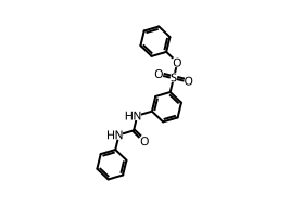 O=C(Nc1ccccc1)Nc1cccc(S(=O)(=O)Oc2ccccc2)c1